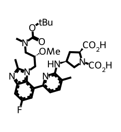 CO[C@@H](CN(C)C(=O)OC(C)(C)C)Cn1c(C)nc2cc(F)cc(-c3ccc(C)c(N[C@H]4C[C@@H](C(=O)O)N(C(=O)O)C4)n3)c21